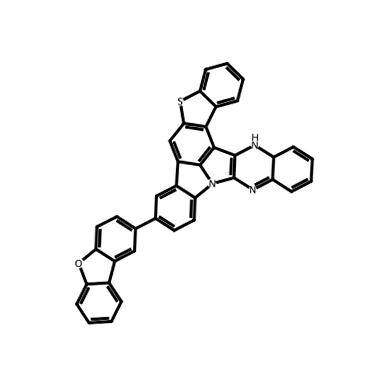 C1=CC2=Nc3c(c4c5c(cc6c7cc(-c8ccc9oc%10ccccc%10c9c8)ccc7n3c64)sc3ccccc35)NC2C=C1